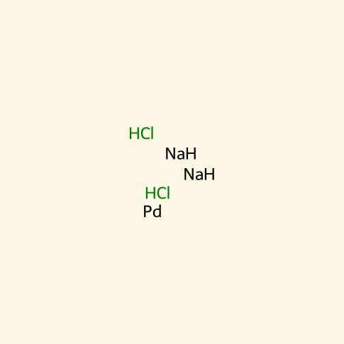 Cl.Cl.[NaH].[NaH].[Pd]